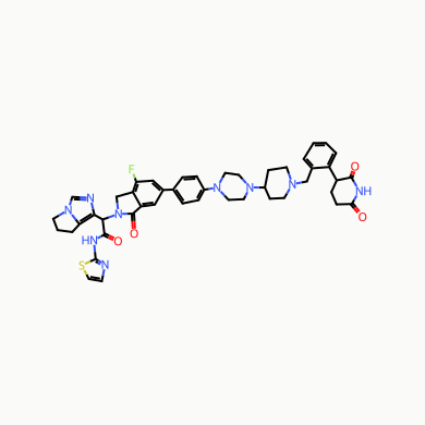 O=C1CCC(c2ccccc2CN2CCC(N3CCN(c4ccc(-c5cc(F)c6c(c5)C(=O)N(C(C(=O)Nc5nccs5)c5ncn7c5CCC7)C6)cc4)CC3)CC2)C(=O)N1